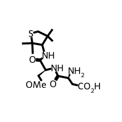 COC[C@H](NC(=O)[C@@H](N)CC(=O)O)C(=O)NC1C(C)(C)CSC1(C)C